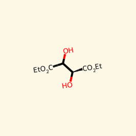 CCOC(=O)C(O)[C@H](O)C(=O)OCC